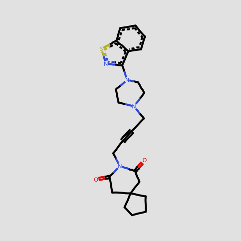 O=C1CC2(CCCC2)CC(=O)N1CC#CCN1CCN(c2nsc3ccccc23)CC1